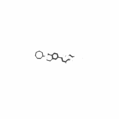 Cc1cn2nc(-c3ccc4c(c3)CCN(C3CCCCCC3)C4=O)cc(C)c2n1